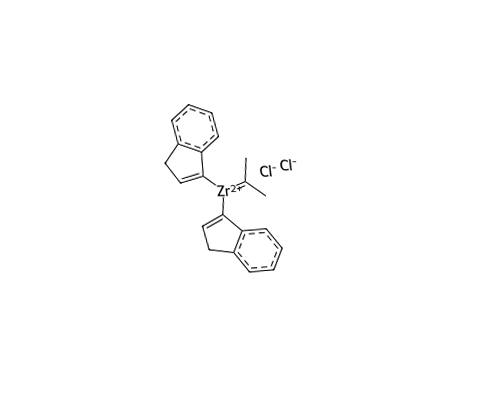 C[C](C)=[Zr+2]([C]1=CCc2ccccc21)[C]1=CCc2ccccc21.[Cl-].[Cl-]